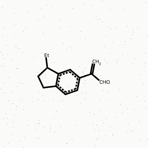 C=C(C=O)c1ccc2c(c1)C(CC)CC2